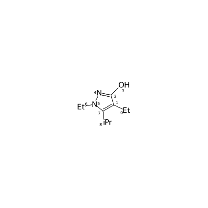 CCc1c(O)nn(CC)c1C(C)C